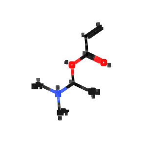 C=CC(=O)OC(N(CCC)CCC)C(C)(C)C